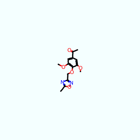 COc1cc(C(C)=O)cc(OC)c1OCc1noc(C)n1